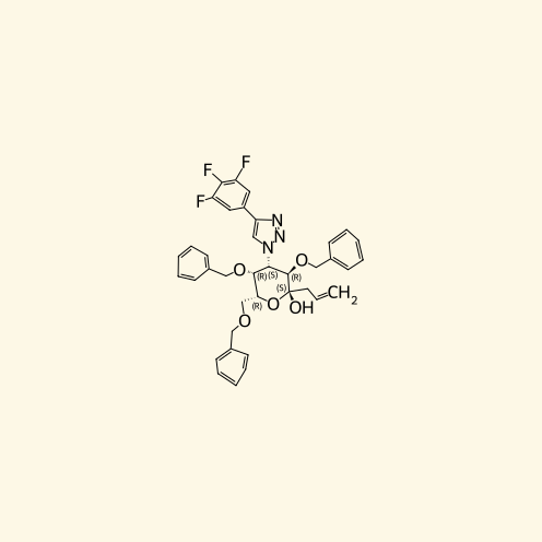 C=CC[C@]1(O)O[C@H](COCc2ccccc2)[C@H](OCc2ccccc2)[C@H](n2cc(-c3cc(F)c(F)c(F)c3)nn2)[C@H]1OCc1ccccc1